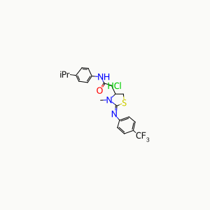 CC(C)c1ccc(NC(=O)CC2CS/C(=N\c3ccc(C(F)(F)F)cc3)N2C)cc1.Cl